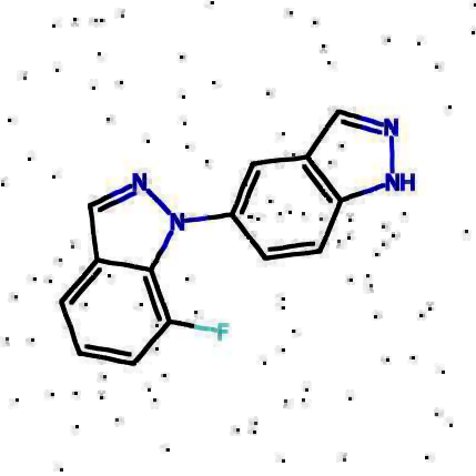 Fc1cccc2cnn(-c3ccc4[nH]ncc4c3)c12